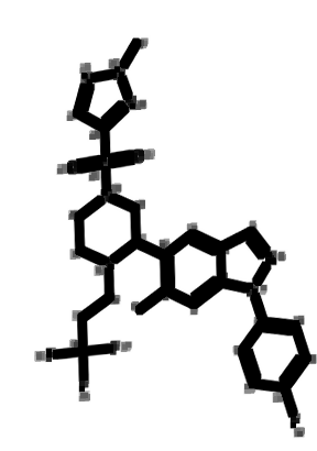 Cc1cc2c(cnn2-c2ccc(F)cc2)cc1C1CN(S(=O)(=O)c2cnn(C)n2)CCN1CCC(F)(F)F